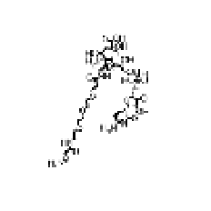 NOCC(=O)NCCOCCOCCOCCC(=O)NCC(=O)[C@@]1(N)[C@@H](O)C[C@@](O)(C(=O)O)O[C@H]1[C@H](O)[C@H](O)CO.Nc1ccn([C@@H]2O[C@H](COP(=O)(O)O)[C@@H](O)[C@H]2O)c(=O)n1